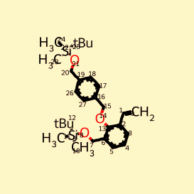 C=Cc1cccc(CO[Si](C)(C)C(C)(C)C)c1OCc1ccc(CO[Si](C)(C)C(C)(C)C)cc1